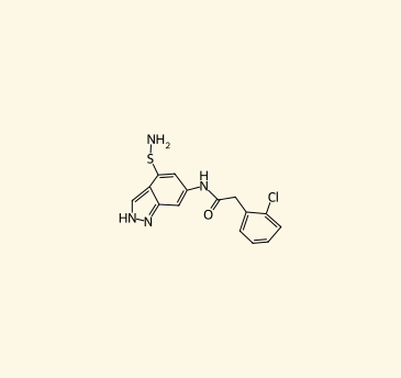 NSc1cc(NC(=O)Cc2ccccc2Cl)cc2n[nH]cc12